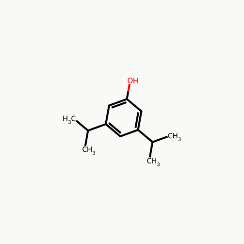 CC(C)c1cc(O)cc(C(C)C)c1